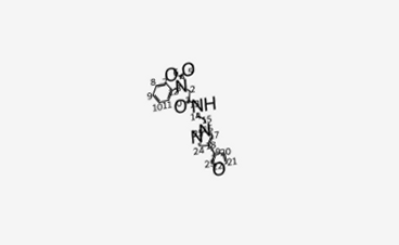 O=C(Cn1c(=O)oc2ccccc21)NCCn1cc(-c2ccoc2)cn1